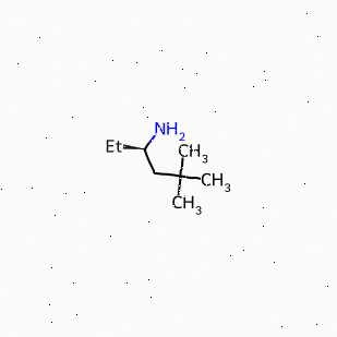 CC[C@@H](N)CC(C)(C)C